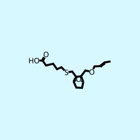 CC=CCOCC1C2CCC(O2)C1CSCCCCC(=O)O